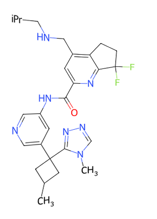 CC(C)CNCc1cc(C(=O)Nc2cncc(C3(c4nncn4C)CC(C)C3)c2)nc2c1CCC2(F)F